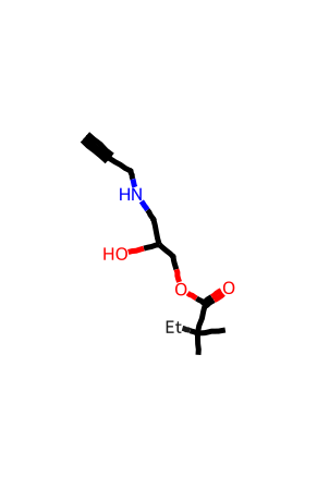 C#CCNCC(O)COC(=O)C(C)(C)CC